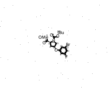 COC(=O)[C@@H]1C[C@H](Oc2cc(F)cc(Br)c2)CN1C(=O)OC(C)(C)C